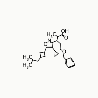 CC(C)CC1CC(c2onc(C(CCOCc3ccccc3)C(C)C(=O)O)c2C2CC2)C1